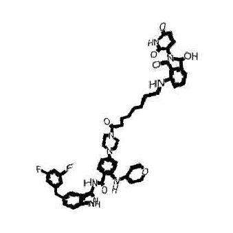 O=C1CCC(N2C(=O)c3c(NCCCCCCCC(=O)N4CCN(c5ccc(C(=O)Nc6n[nH]c7ccc(Cc8cc(F)cc(F)c8)cc67)c(NC6CCOCC6)c5)CC4)cccc3C2O)C(=O)N1